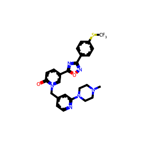 CN1CCN(c2cc(Cn3cc(-c4nc(-c5ccc(SC(F)(F)F)cc5)no4)ccc3=O)ccn2)CC1